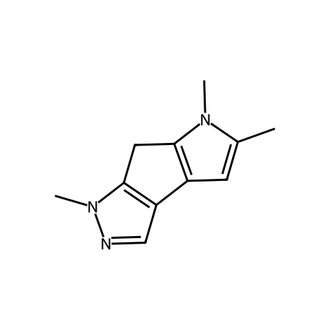 Cc1cc2c(n1C)Cc1c-2cnn1C